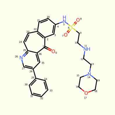 O=c1c2cc(NS(=O)(=O)CCNCCN3CCOCC3)ccc2ccc2ncc(-c3ccccc3)cc12